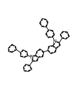 c1ccc(-c2ccc(-n3c(-c4ccccc4)cc4cc(-c5ccc6cc(-c7ccccc7)n(-c7ccc(-c8ccccc8)cc7)c6c5)ccc43)cc2)cc1